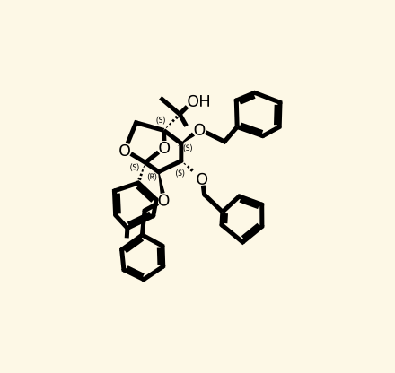 Cc1ccc([C@]23OC[C@](C(C)(C)O)(O2)[C@@H](OCc2ccccc2)[C@H](OCc2ccccc2)[C@H]3OCc2ccccc2)cc1